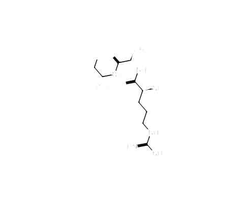 CC[C@H](C)[C@H](NC(=O)[C@@H](N)CCCNC(=N)N)C(=O)N[C@H]([C]=O)[C@H](C)O